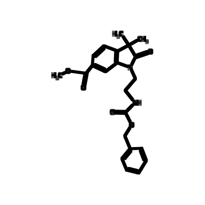 COC(=O)c1ccc2c(c1)N(CCNC(=O)OCc1ccccc1)C(=O)C2(C)C